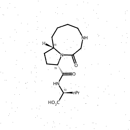 CCC[C@H](NC(=O)[C@@H]1CC[C@@H]2CCCCNCC(=O)N21)C(=O)O